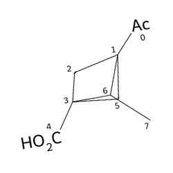 CC(=O)C12CC(C(=O)O)(C1)C2C